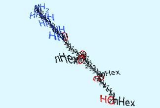 CCCCCCC(O)CCCCCCCCCCC(=O)OC(CCCCCC)CCCCCCCCCCC(=O)OC(CCCCCC)CCCCCCCCCCC(=O)NCCNCCNCCNCCNCCN